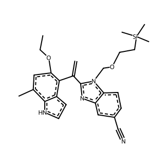 C=C(c1c(OCC)cc(C)c2[nH]ccc12)c1nc2cc(C#N)ccc2n1COCC[Si](C)(C)C